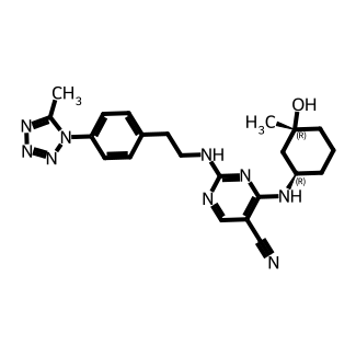 Cc1nnnn1-c1ccc(CCNc2ncc(C#N)c(N[C@@H]3CCC[C@@](C)(O)C3)n2)cc1